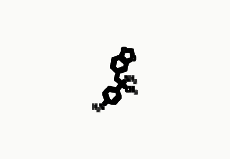 CC(N)(Cc1ccc2c(c1)OCO2)c1ccc(N)cc1